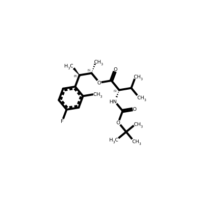 Cc1cc(F)ccc1[C@@H](C)[C@H](C)OC(=O)[C@@H](NC(=O)OC(C)(C)C)C(C)C